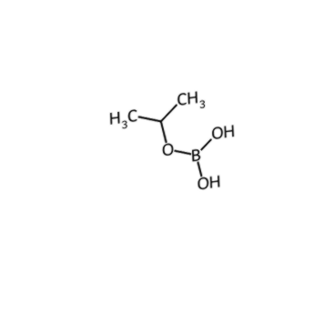 CC(C)OB(O)O